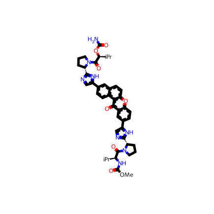 COC(=O)N[C@H](C(=O)N1CCC[C@H]1c1ncc(-c2ccc3oc4ccc5cc(-c6cnc([C@@H]7CCCN7C(=O)[C@@H](OC(N)=O)C(C)C)[nH]6)ccc5c4c(=O)c3c2)[nH]1)C(C)C